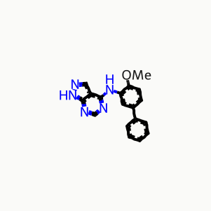 COc1ccc(-c2ccccc2)cc1Nc1ncnc2[nH]ncc12